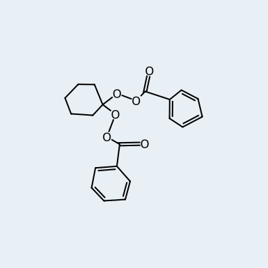 O=C(OOC1(OOC(=O)c2ccccc2)CCCCC1)c1ccccc1